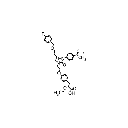 CCOC(Cc1ccc(OCCN(CCCCOCc2ccc(F)cc2)C(=O)Nc2ccc(C(C)C)cc2)cc1)C(=O)O